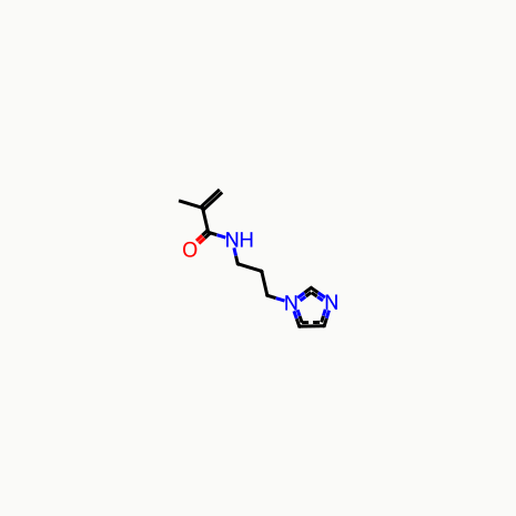 C=C(C)C(=O)NCCCn1ccnc1